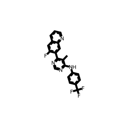 Cc1c(Nc2ccc(C(F)(F)F)cc2)ncnc1-c1cc2ncccc2cc1F